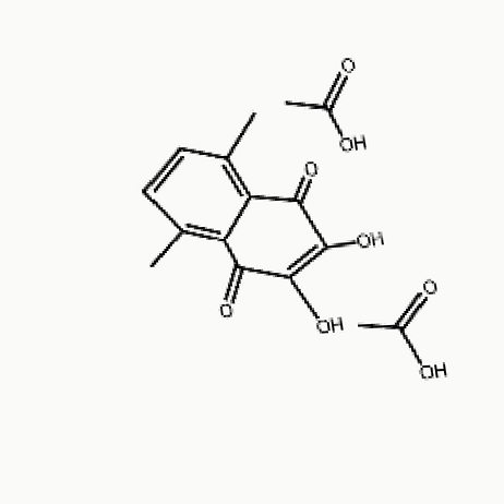 CC(=O)O.CC(=O)O.Cc1ccc(C)c2c1C(=O)C(O)=C(O)C2=O